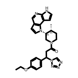 CCOc1ccc(C(CC(=O)N2CC[C@@H](C)[C@@H](n3ccc4cnc5[nH]ccc5c43)C2)n2cnnn2)cc1